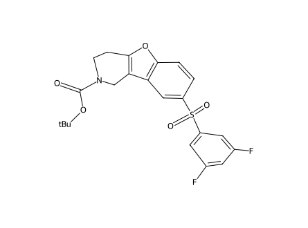 CC(C)(C)OC(=O)N1CCc2oc3ccc(S(=O)(=O)c4cc(F)cc(F)c4)cc3c2C1